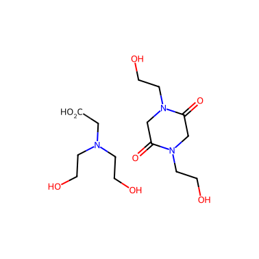 O=C(O)CN(CCO)CCO.O=C1CN(CCO)C(=O)CN1CCO